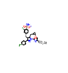 CCOC(=O)c1coc(-n2nc(-c3ccc(F)cc3)c(Cc3ccc(S(N)(=O)=O)c(F)c3)c2CC2CC2)n1